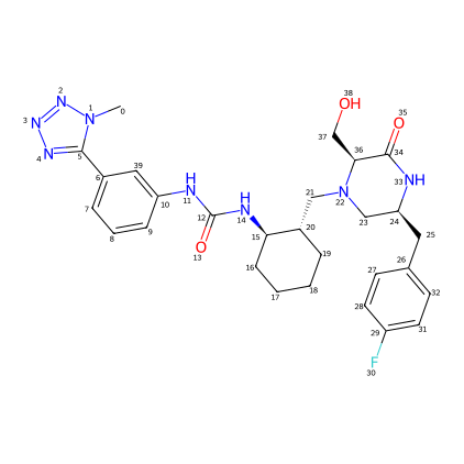 Cn1nnnc1-c1cccc(NC(=O)N[C@@H]2CCCC[C@H]2CN2C[C@H](Cc3ccc(F)cc3)NC(=O)[C@@H]2CO)c1